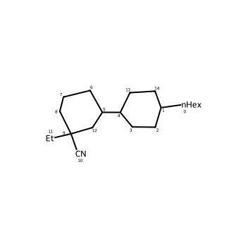 CCCCCCC1CCC(C2CCCC(C#N)(CC)C2)CC1